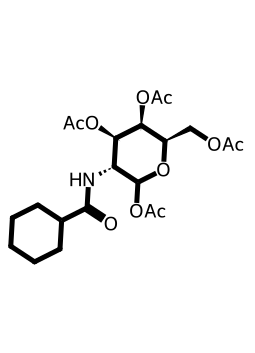 CC(=O)OC[C@H]1OC(OC(C)=O)[C@H](NC(=O)C2CCCCC2)[C@@H](OC(C)=O)[C@H]1OC(C)=O